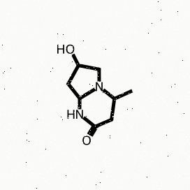 CC1CC(=O)NC2CC(O)CN12